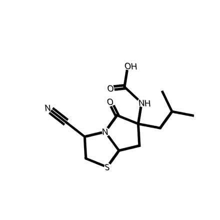 CC(C)CC1(NC(=O)O)CC2SCC(C#N)N2C1=O